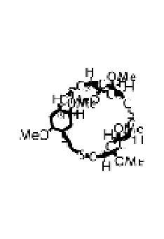 COC1C[C@@H]2CSC[C@H]3C[C@@H](OC)[C@@H](CSC[C@H]4CC(OC)[C@@H](CSC[C@H]1C[C@H]2OC)C[C@H]4OC)CC3OC